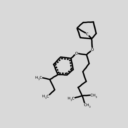 CCC(C)c1ccc(OC(CCCCC(C)(C)C)OC23CCCC(C2)C3)cc1